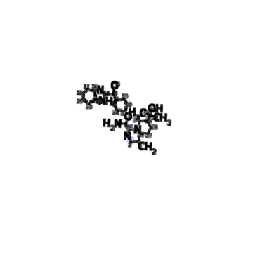 C=C/C=N\C(=C(/N)Oc1ccc(C(=O)c2nc3ccccc3[nH]2)cc1)N1CCCC(C(C)(C)O)C1